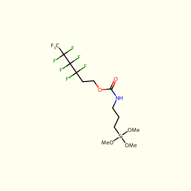 CO[Si](CCCNC(=O)OCCC(F)(F)C(F)(F)C(F)(F)C(F)(F)F)(OC)OC